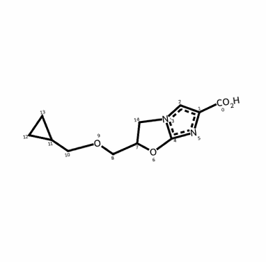 O=C(O)c1cn2c(n1)OC(COCC1CC1)C2